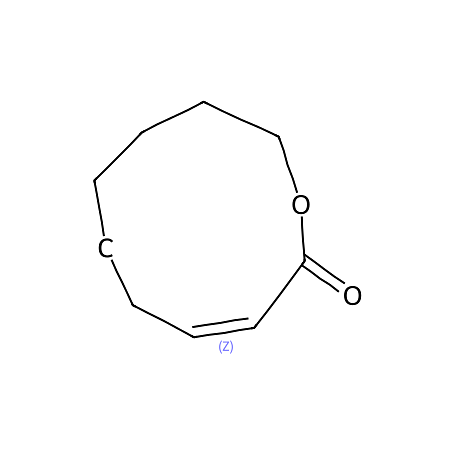 O=C1/C=C\CCCCCCO1